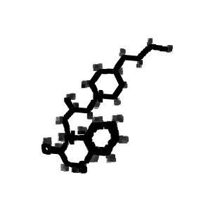 CCCCC1CCN(CC(C)CN2C(=O)CSc3ccccc32)CC1